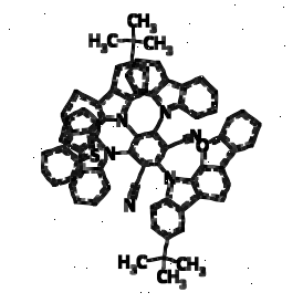 CC(C)(C)c1ccc2c(c1)c1ccc3c4ccccc4oc3c1n2-c1c(C#N)c(-n2c3ccccc3c3ccccc32)c(-n2c3ccc(C(C)(C)C)cc3c3ccc4c5ccccc5sc4c32)c(-n2c3ccccc3c3ccccc32)c1C#N